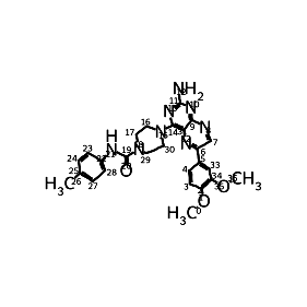 COc1ccc(-c2cnc3nc(N)nc(N4CCN(C(=O)Nc5ccc(C)cc5)CC4)c3n2)cc1OC